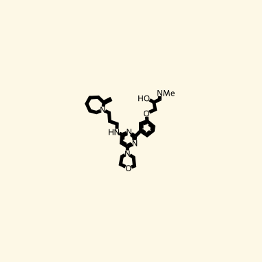 C=C1CCCCCN1CCCNc1cc(N2CCOCC2)nc(-c2cccc(OCC(O)CNC)c2)n1